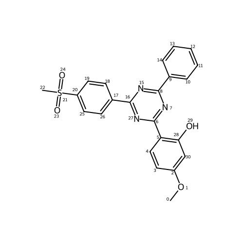 COc1ccc(-c2nc(-c3ccccc3)nc(-c3ccc(S(C)(=O)=O)cc3)n2)c(O)c1